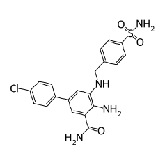 NC(=O)c1cc(-c2ccc(Cl)cc2)cc(NCc2ccc(S(N)(=O)=O)cc2)c1N